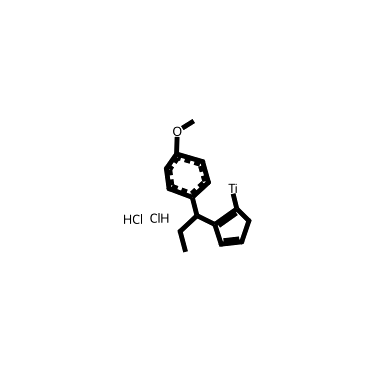 CCC(C1=[C]([Ti])CC=C1)c1ccc(OC)cc1.Cl.Cl